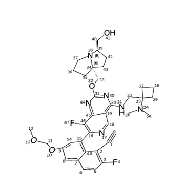 C#Cc1c(F)ccc2cc(OCOC)cc(-c3ncc4c(NCC5(N(C)C)CCC5)nc(OC[C@]56CCCN5[C@@H](CO)CC6)nc4c3F)c12